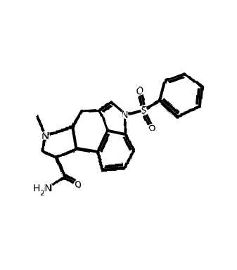 CN1CC(C(N)=O)C2c3cccc4c3c(cn4S(=O)(=O)c3ccccc3)CC21